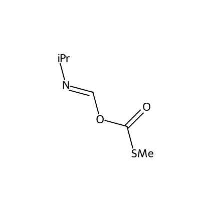 CSC(=O)OC=NC(C)C